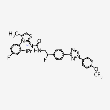 Cc1cs/c(=N\C(=O)NCC(F)c2ccc(-c3ncn(-c4ccc(OC(F)(F)F)cc4)n3)cc2)n1-c1ccc(F)cc1C(C)C